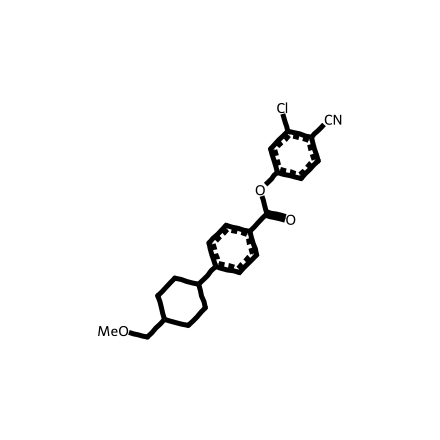 COCC1CCC(c2ccc(C(=O)Oc3ccc(C#N)c(Cl)c3)cc2)CC1